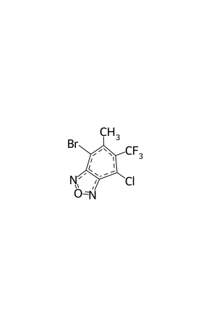 Cc1c(C(F)(F)F)c(Cl)c2nonc2c1Br